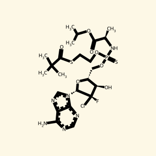 CC(C)OC(=O)[C@@H](C)NP(=S)(OCCSC(=O)C(C)(C)C)OC[C@H]1O[C@@H](n2cnc3c(N)ncnc32)[C@@](F)(Cl)[C@@H]1O